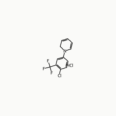 Cl.FC(F)(F)c1cc(N2C=CC=CC2)ccc1Cl